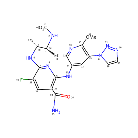 CC[C@H](NC(=O)O)[C@@H](C)Nc1nc(Nc2cnc(OC)c(-n3ccnn3)c2)c(C(N)=O)cc1F